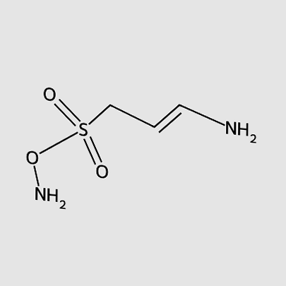 NC=CCS(=O)(=O)ON